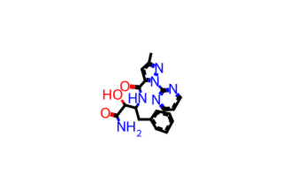 Cc1cc(C(=O)NC(Cc2ccccc2)C(O)C(N)=O)n(-c2ncccn2)n1